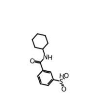 O=C(NC1CCCCC1)c1cccc([SH](=O)=O)c1